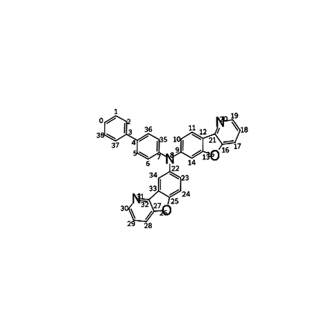 c1ccc(-c2ccc(N(c3ccc4c(c3)oc3cccnc34)c3ccc4oc5cccnc5c4c3)cc2)cc1